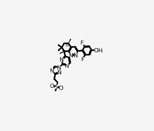 C[C@@H]1CC(C)(C)[C@@](C)(c2ccnc(-n3cnc(CCS(C)(=O)=O)n3)n2)c2nnc(-c3c(F)cc(O)cc3F)cc21